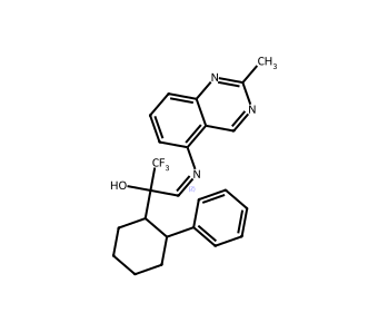 Cc1ncc2c(/N=C\C(O)(C3CCCCC3c3ccccc3)C(F)(F)F)cccc2n1